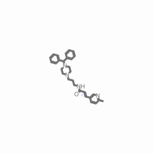 Cc1ccc(/C=C/C(=O)NCCCN2CCN(C(c3ccccc3)c3ccccc3)CC2)cn1